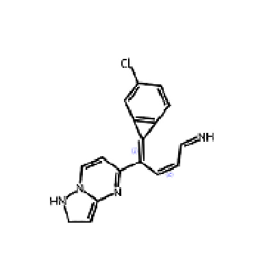 N=C/C=C\C(C1=NC2=CCNN2C=C1)=C1/c2ccc(Cl)cc21